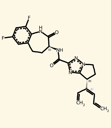 C=C/C=C(\C=C)[C@H]1CCn2nc(C(=O)N[C@H]3CCc4cc(F)cc(F)c4NC3=O)nc21